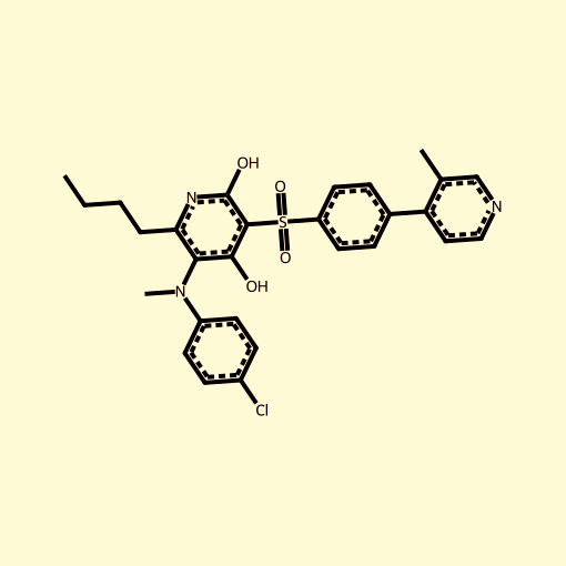 CCCCc1nc(O)c(S(=O)(=O)c2ccc(-c3ccncc3C)cc2)c(O)c1N(C)c1ccc(Cl)cc1